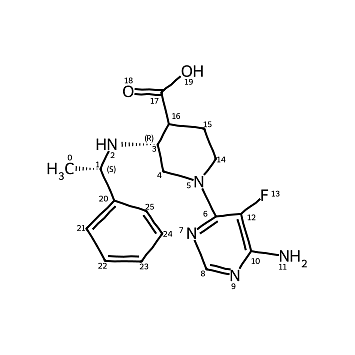 C[C@H](N[C@H]1CN(c2ncnc(N)c2F)CCC1C(=O)O)c1ccccc1